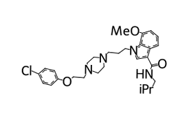 COc1cccc2c(C(=O)NCC(C)C)cn(CCCN3CCN(CCOc4ccc(Cl)cc4)CC3)c12